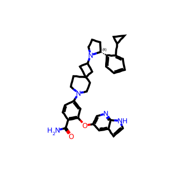 NC(=O)c1ccc(N2CCC3(CC2)CC(N2CCC[C@@H]2c2ccccc2C2CC2)C3)cc1Oc1cnc2[nH]ccc2c1